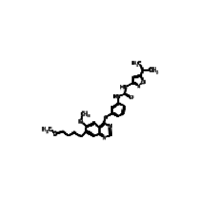 COCCCCc1cc2ncnc(Oc3cccc(NC(=O)Nc4cc(C(C)C)on4)c3)c2cc1OC